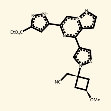 CCOC(=O)c1cc(-c2cn3nccc3c(-c3cnn([C@]4(CC#N)C[C@@H](OC)C4)c3)n2)[nH]n1